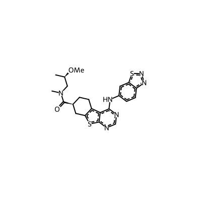 CO[C@H](C)CN(C)C(=O)[C@H]1CCc2c(sc3ncnc(Nc4ccc5nnsc5c4)c23)C1